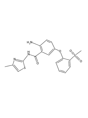 Cc1csc(NC(=O)c2cc(Oc3ccccc3S(C)(=O)=O)ccc2N)n1